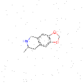 CC1Cc2cc3c(cc2CN1)OCO3